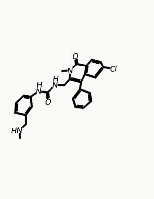 CNCc1cccc(NC(=O)NCc2c(-c3ccccc3)c3cc(Cl)ccc3c(=O)n2C)c1